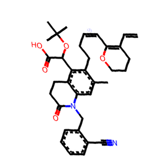 C=CC1=C(/C=C\CCc2c(C)cc3c(c2C(OC(C)(C)C)C(=O)O)CCC(=O)N3Cc2ccccc2C#N)OCCC1